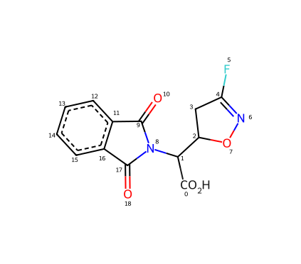 O=C(O)C(C1CC(F)=NO1)N1C(=O)c2ccccc2C1=O